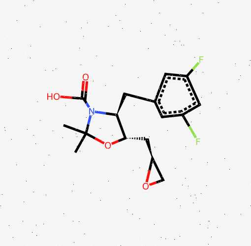 CC1(C)O[C@@H](C[C@H]2CO2)[C@H](Cc2cc(F)cc(F)c2)N1C(=O)O